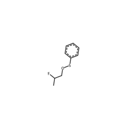 CC(F)COSc1ccccc1